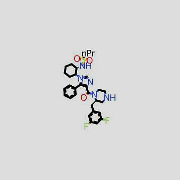 CCCS(=O)(=O)N[C@H]1CCCC[C@@H]1n1cnc(C(=O)N2CCNC[C@H]2Cc2cc(F)cc(F)c2)c1-c1ccccc1